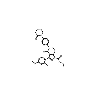 CCOC(=O)c1nn(-c2ccc(OC)cc2C)c2c1CCN(c1ccc(N3CCCCC3=O)cc1)C2=O